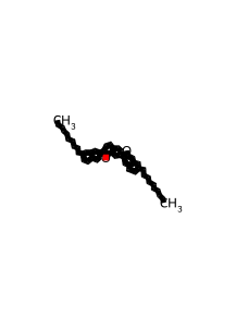 CCCCCCCCCCc1ccc2cc3c(cc2c1)oc1cc2ccc4c5cc6cc(CCCCCCCCCC)ccc6cc5oc4c2cc13